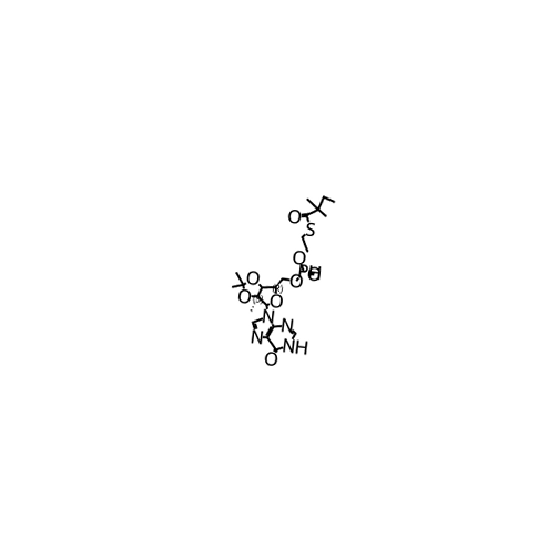 CCC(C)(C)C(=O)SCCO[PH](=O)OC[C@H]1OC(n2cnc3c(=O)[nH]cnc32)[C@@]2(C)OC(C)(C)OC12